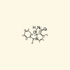 Cc1ccn(C(C)c2ccccc2)c(=O)c1C(N)=O